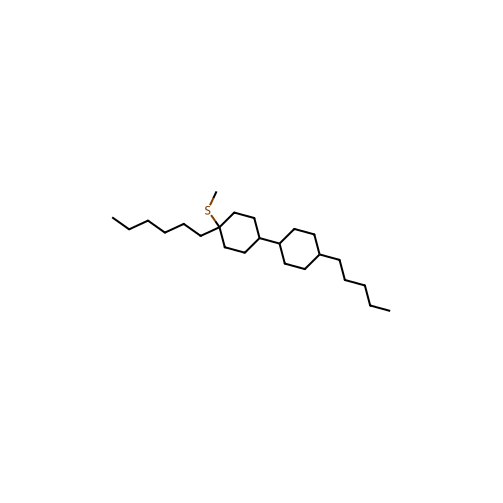 CCCCCCC1(SC)CCC(C2CCC(CCCCC)CC2)CC1